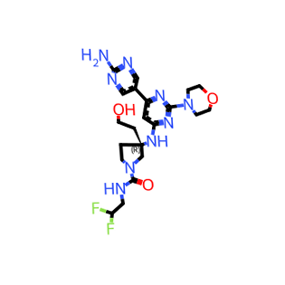 Nc1ncc(-c2cc(N[C@@]3(CCO)CCN(C(=O)NCC(F)F)C3)nc(N3CCOCC3)n2)cn1